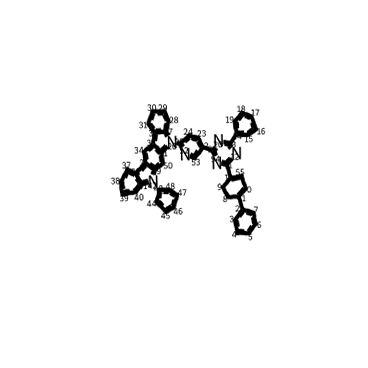 C1=C(c2ccccc2)CCC(c2nc(-c3ccccc3)nc(-c3ccc(-n4c5ccccc5c5cc6c7ccccc7n(-c7ccccc7)c6cc54)nc3)n2)=C1